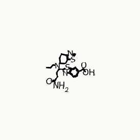 CCCN(C1CCc2ncsc2C1)C(CCC(N)=O)c1nc2ccc(C(=O)O)cc2s1